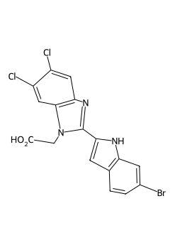 O=C(O)Cn1c(-c2cc3ccc(Br)cc3[nH]2)nc2cc(Cl)c(Cl)cc21